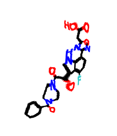 O=C(O)Cc1nc(-c2ccc(F)c3c(C(=O)C(=O)N4CCN(C(=O)c5ccccc5)CC4)c[nH]c23)no1